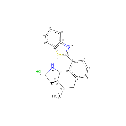 Cl.O=C(O)[C@@H](Cc1cccc(-c2nc3ccccc3s2)c1)[C@H]1CCNC1